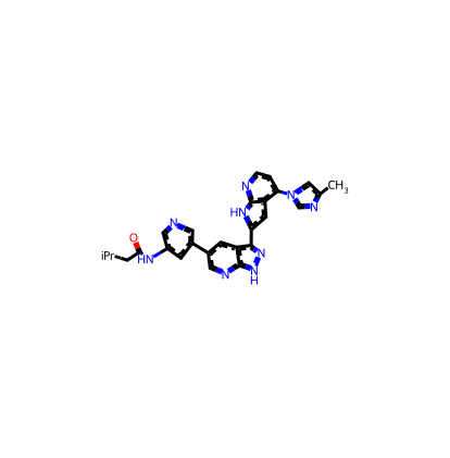 Cc1cn(-c2ccnc3[nH]c(-c4n[nH]c5ncc(-c6cncc(NC(=O)CC(C)C)c6)cc45)cc23)cn1